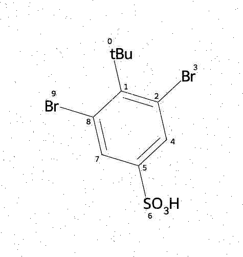 CC(C)(C)c1c(Br)cc(S(=O)(=O)O)cc1Br